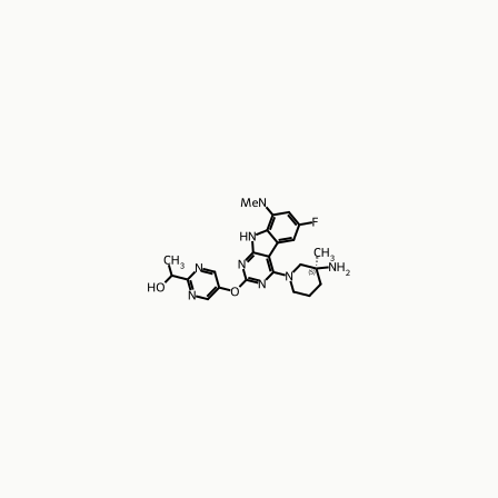 CNc1cc(F)cc2c1[nH]c1nc(Oc3cnc(C(C)O)nc3)nc(N3CCC[C@](C)(N)C3)c12